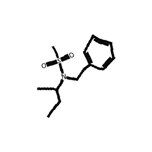 CCC(C)N(Cc1ccccc1)S(C)(=O)=O